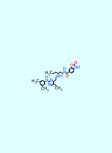 CCCC(CCNC(=O)c1ccc2[nH]c(=O)oc2c1)NCCc1nc(Nc2cc(C)cc(C)c2)ncc1CC